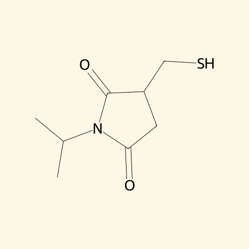 CC(C)N1C(=O)CC(CS)C1=O